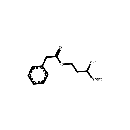 CCCCCC(CCC)CCOC(=O)Cc1ccccc1